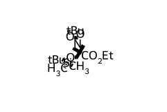 CCOC(=O)C1(CO[Si](C)(C)C(C)(C)C)CN(C(=O)OC(C)(C)C)C1